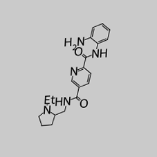 CCN1CCCC1CNC(=O)c1ccc(C(=O)Nc2ccccc2N)nc1